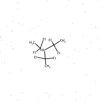 CCC(C)(CC)[SiH](C(C)(CC)CC)C(C)(CC)CC